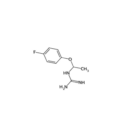 CC(NC(=N)N)Oc1ccc(F)cc1